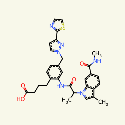 CNC(=O)c1ccc2c(C)cn(C(C)C(=O)Nc3cc(Cn4ccc(-c5nccs5)n4)ccc3CCCC(=O)O)c2c1